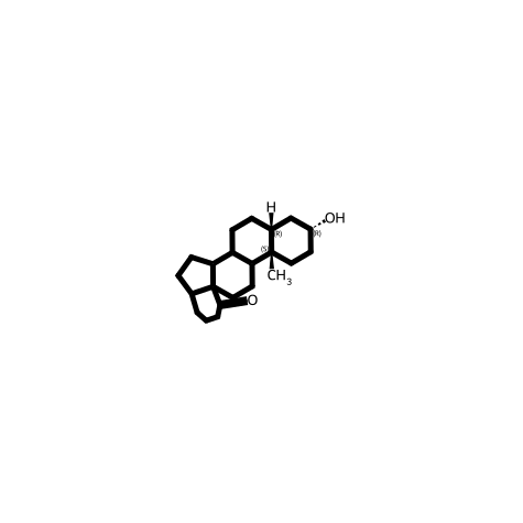 C[C@]12CC[C@@H](O)C[C@H]1CCC1C3CCC4CCCC(=O)C43CCC12